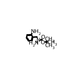 CC(C)(C)OC(=O)N(N)Cc1ccccc1N